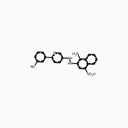 N#Cc1cccc(-c2ccc(NNc3cc(S(=O)(=O)O)c4ccccc4c3N)cn2)c1